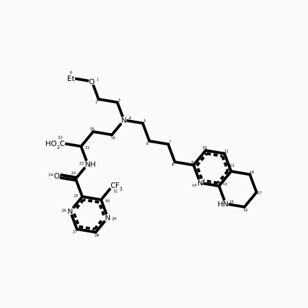 CCOCCN(CCCCc1ccc2c(n1)NCCC2)CCC(NC(=O)c1nccnc1C(F)(F)F)C(=O)O